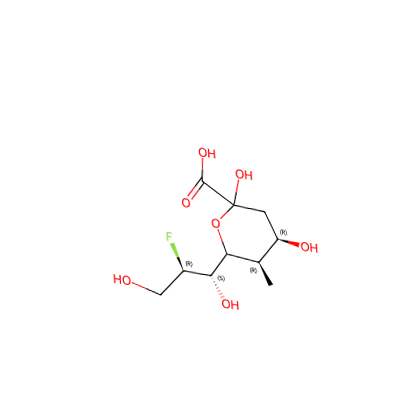 C[C@H]1C([C@H](O)[C@H](F)CO)OC(O)(C(=O)O)C[C@H]1O